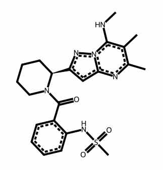 CNc1c(C)c(C)nc2cc([C@@H]3CCCCN3C(=O)c3ccccc3NS(C)(=O)=O)nn12